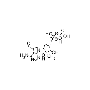 C[C@@]1(O)[C@H](O)[C@@H](COP(=O)(O)OP(=O)(O)O)O[C@H]1n1cc(C=O)c2c(N)ncnc21